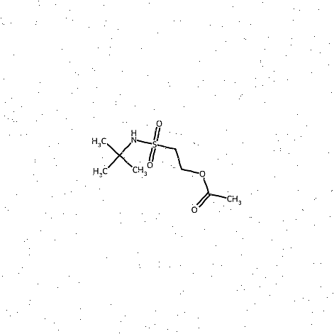 CC(=O)OCCS(=O)(=O)NC(C)(C)C